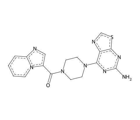 Nc1nc(N2CCN(C(=O)c3cnc4ccccn34)CC2)c2ncsc2n1